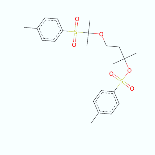 Cc1ccc(S(=O)(=O)OC(C)(C)CCOC(C)(C)S(=O)(=O)c2ccc(C)cc2)cc1